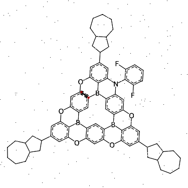 Fc1cccc(F)c1N1c2cc3c(cc2B2c4ccccc4Oc4cc(C5CC6CCCCCC6C5)cc1c42)B1c2cc4c(cc2Oc2cc(C5CC6CCCCCC6C5)cc(c21)O3)Oc1cc(C2CC3CCCCCC3C2)cc2c1B4c1ccccc1O2